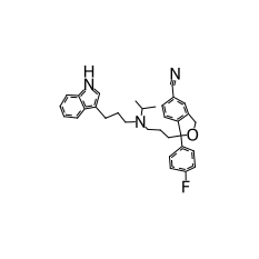 CC(C)N(CCCc1c[nH]c2ccccc12)CCCC1(c2ccc(F)cc2)OCc2cc(C#N)ccc21